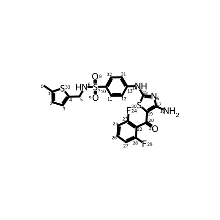 Cc1ccc(CNS(=O)(=O)c2ccc(Nc3nc(N)c(C(=O)c4c(F)cccc4F)s3)cc2)s1